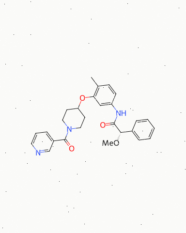 CO[C@H](C(=O)Nc1ccc(C)c(OC2CCN(C(=O)c3cccnc3)CC2)c1)c1ccccc1